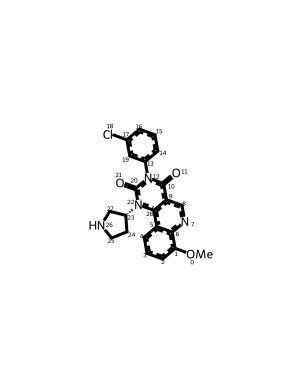 COc1cccc2c1ncc1c(=O)n(-c3cccc(Cl)c3)c(=O)n([C@@H]3CCNC3)c12